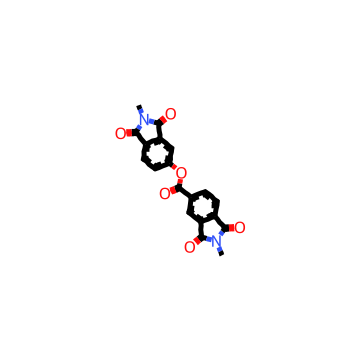 CN1C(=O)c2ccc(OC(=O)c3ccc4c(c3)C(=O)N(C)C4=O)cc2C1=O